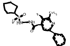 Cc1nc(-c2ccccc2)cc(C(=O)NNS(=O)(=O)C2CCCCC2)c1F